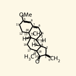 C=C1C[C@H]2[C@@H]3CC=C4C=C(OC)CC[C@]4(C)[C@H]3CC[C@]2(C)C1=O